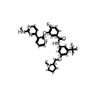 CNc1nccc(-c2cccnc2Oc2cc(C(=O)Nc3cc(OCC4CCCN4C)cc(C(F)(F)F)c3)ccc2F)n1